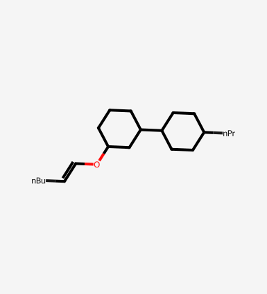 CCCC/C=C/OC1CCCC(C2CCC(CCC)CC2)C1